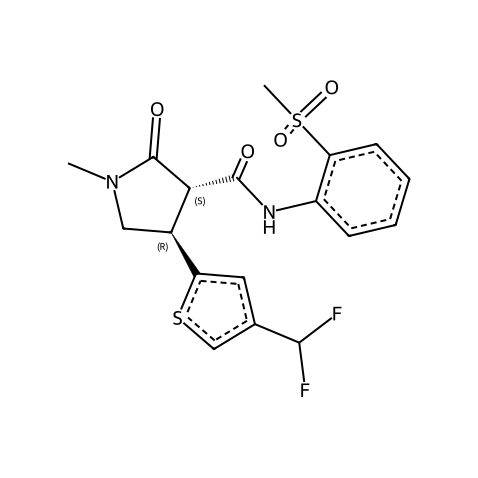 CN1C[C@H](c2cc(C(F)F)cs2)[C@@H](C(=O)Nc2ccccc2S(C)(=O)=O)C1=O